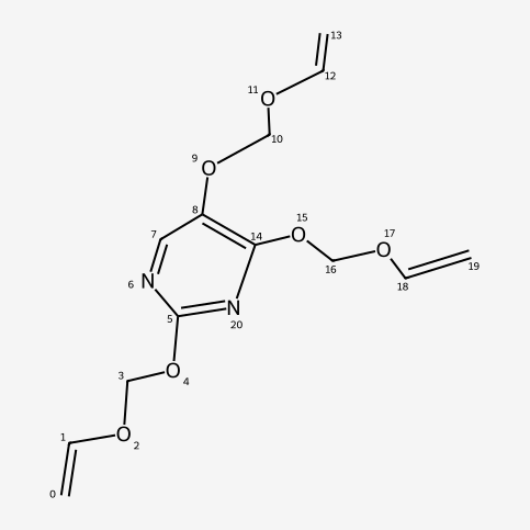 C=COCOc1ncc(OCOC=C)c(OCOC=C)n1